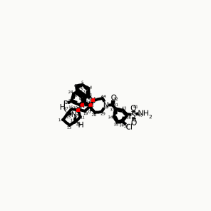 Cc1nc2ccccc2n1C1C[C@H]2CC[C@@H](C1)N2CCC1(c2cccc(F)c2)CCN(C(=O)c2ccc(Cl)c(S(N)(=O)=O)c2)CC1